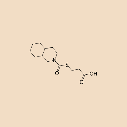 O=C(O)CCSC(=O)N1CCC2CCCCC2C1